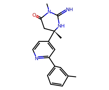 Cc1cccc(-c2cc([C@]3(C)CC(=O)N(C)C(=N)N3)ccn2)c1